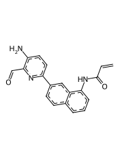 C=CC(=O)Nc1cccc2ccc(-c3ccc(N)c(C=O)n3)cc12